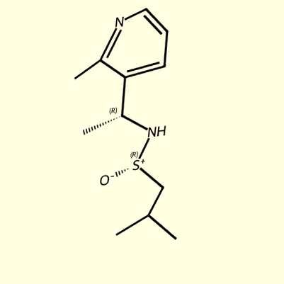 Cc1ncccc1[C@@H](C)N[S@@+]([O-])CC(C)C